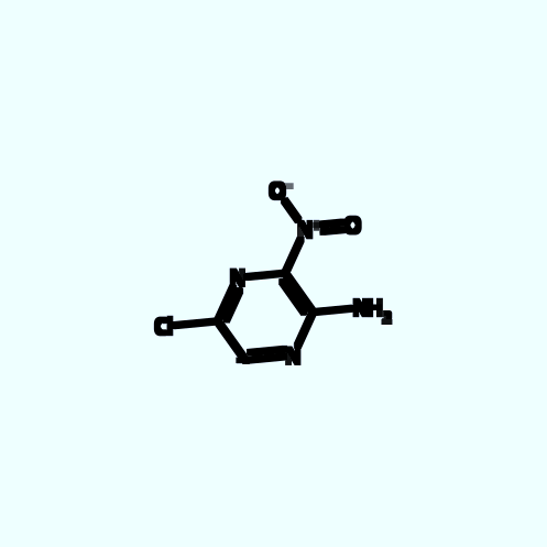 Nc1n[c]c(Cl)nc1[N+](=O)[O-]